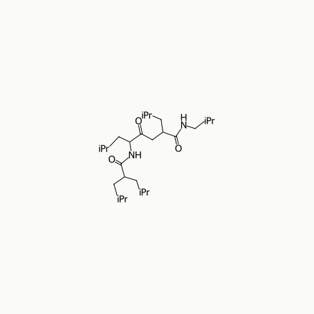 CC(C)CNC(=O)C(CC(=O)C(CC(C)C)NC(=O)C(CC(C)C)CC(C)C)CC(C)C